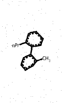 CC[CH]c1ccccc1-c1ccccc1C